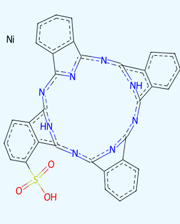 O=S(=O)(O)c1cccc2c3nc4nc(nc5[nH]c(nc6nc(nc([nH]3)c12)-c1ccccc1-6)c1ccccc51)-c1ccccc1-4.[Ni]